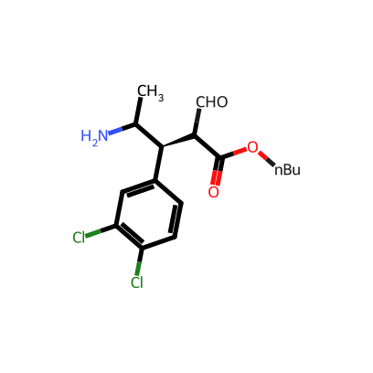 CCCCOC(=O)C(C=O)[C@@H](c1ccc(Cl)c(Cl)c1)C(C)N